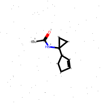 CC(C)(C)C(=O)NC1(C2C=CCC2)CC1